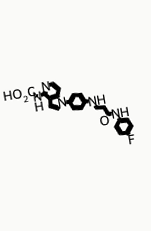 O=C(O)Nc1nccc2c1ccn2-c1ccc(NCCC(=O)Nc2ccc(F)cc2)cc1